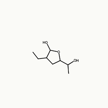 CCC1CC(C(C)O)OC1O